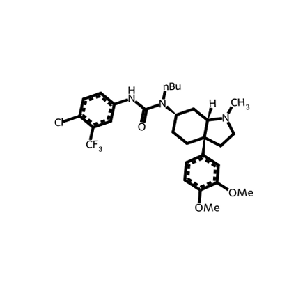 CCCCN(C(=O)Nc1ccc(Cl)c(C(F)(F)F)c1)[C@@H]1CC[C@@]2(c3ccc(OC)c(OC)c3)CCN(C)[C@H]2C1